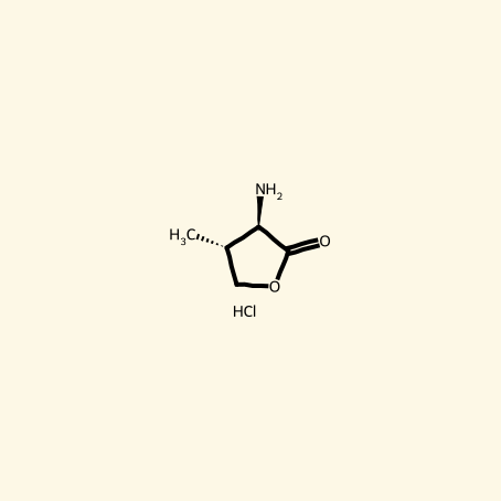 C[C@H]1COC(=O)[C@@H]1N.Cl